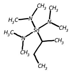 CC[CH](C)[Sn]([N](C)C)([N](C)C)[N](C)C